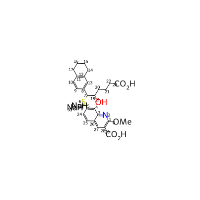 COc1nc2cc(SC(c3ccc4c(c3)CCCC4)C(O)CCCC(=O)O)ccc2cc1C(=O)O.[NaH].[NaH]